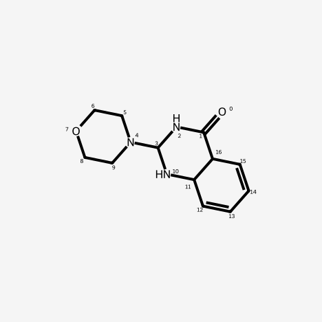 O=C1NC(N2CCOCC2)NC2C=CC=CC12